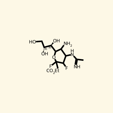 CCOC(=O)C1(F)OC([C@H](O)[C@H](O)CO)C(N)C(NC(C)=N)C1F